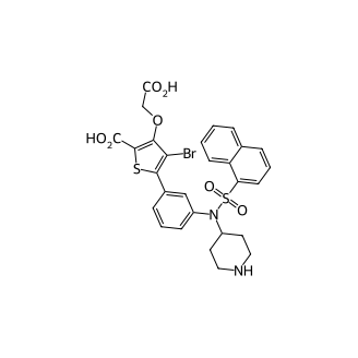 O=C(O)COc1c(C(=O)O)sc(-c2cccc(N(C3CCNCC3)S(=O)(=O)c3cccc4ccccc34)c2)c1Br